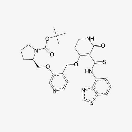 CC(C)(C)OC(=O)N1CCC[C@@H]1COc1cnccc1COC1=C(C(=S)Nc2cccc3scnc23)C(=O)NCC1